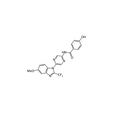 COc1ccc2c(c1)nc(C(F)(F)F)n2-c1cnc(NC(=O)c2ccc(O)cc2)cn1